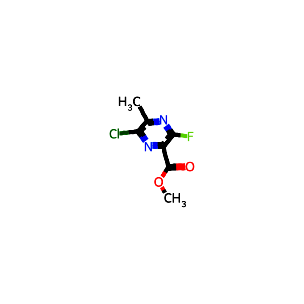 COC(=O)c1nc(Cl)c(C)nc1F